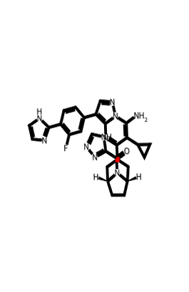 Nc1c(C2CC2)c(C2C[C@H]3CC[C@@H](C2)N3C(=O)c2nnc[nH]2)nc2c(-c3ccc(-c4ncc[nH]4)c(F)c3)cnn12